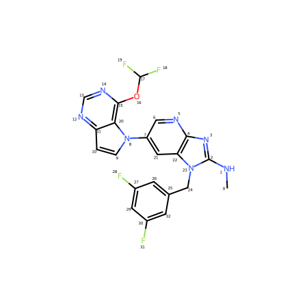 CNc1nc2ncc(-n3ccc4ncnc(OC(F)F)c43)cc2n1Cc1cc(F)cc(F)c1